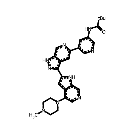 CN1CCN(c2cncc3[nH]c(-c4n[nH]c5cnc(-c6cncc(NC(=O)C(C)(C)C)c6)cc45)cc23)CC1